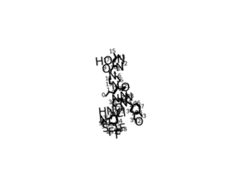 CCc1c(N2CCN(C(=O)c3ncnc(C)c3O)CC2)c(=O)n2nc(-c3ccc4c(c3)COC4)nc2n1CC(=O)Nc1c(Cl)cc(C(F)(F)F)c2scnc12